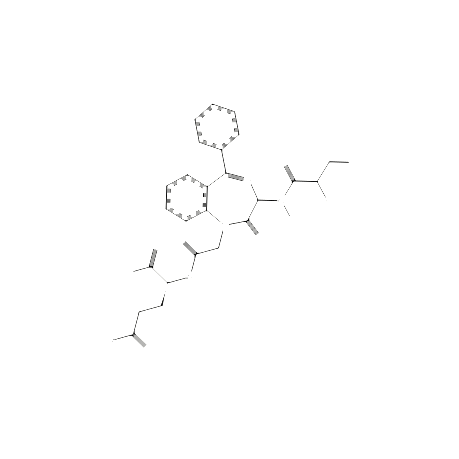 CN(C(=O)C(N)CS)C1N=C(c2ccccc2)c2ccccc2N(CC(=O)N[C@@H](CCC(N)=O)C(=O)O)C1=O